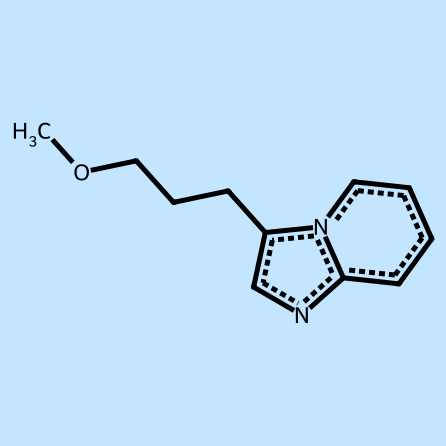 COCCCc1cnc2ccccn12